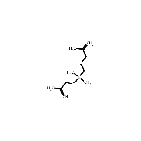 C=C(C)COC[Si](C)(C)OCC(=C)C